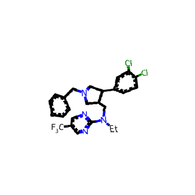 CCN(CC1CN(Cc2ccccc2)CC1c1ccc(Cl)c(Cl)c1)c1ncc(C(F)(F)F)cn1